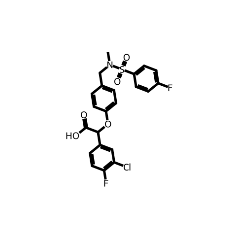 CN(Cc1ccc(OC(C(=O)O)c2ccc(F)c(Cl)c2)cc1)S(=O)(=O)c1ccc(F)cc1